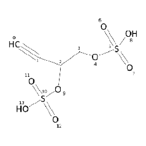 C#CC(COS(=O)(=O)O)OS(=O)(=O)O